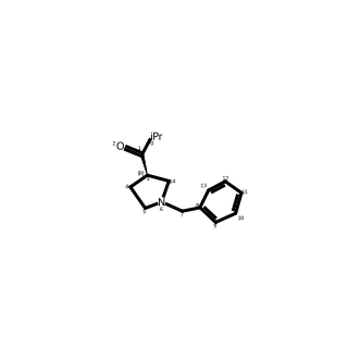 CC(C)C(=O)[C@@H]1CCN(Cc2ccccc2)C1